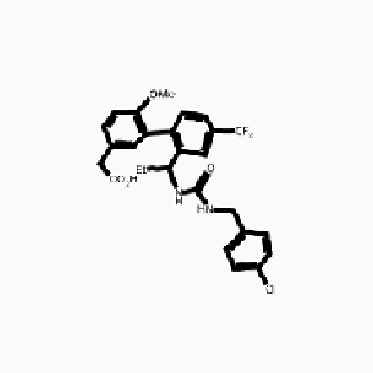 CCC(NC(=O)NCc1ccc(Cl)cc1)c1cc(C(F)(F)F)ccc1-c1cc(CC(=O)O)ccc1OC